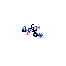 CCCc1cn(-c2cccn2C)c(=O)n1CC1(c2cccc(-c3nnn[nH]3)c2)C=CNC=C1